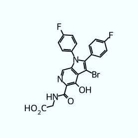 O=C(O)CNC(=O)c1ncc2c(c1O)c(Br)c(-c1ccc(F)cc1)n2-c1ccc(F)cc1